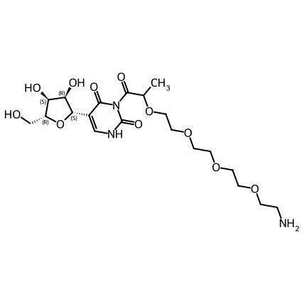 CC(OCCOCCOCCOCCN)C(=O)n1c(=O)[nH]cc([C@@H]2O[C@H](CO)[C@@H](O)[C@H]2O)c1=O